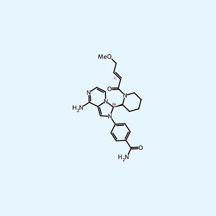 COC/C=C/C(=O)N1CCCCC1[C@@H]1N2C=CN=C(N)C2=CN1c1ccc(C(N)=O)cc1